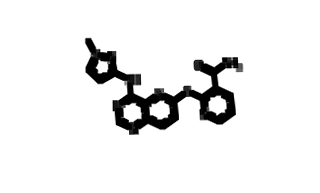 Cn1ccc(Nc2ncnc3ccc(Sc4ncccc4C(N)=O)nc23)n1